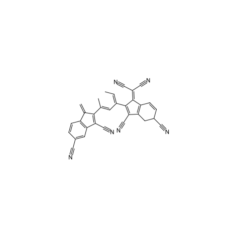 C=C1C(/C(C)=C/C(=C\C)C2=C(C#N)C3=C(C=CC(C#N)C3)C2=C(C#N)C#N)=C(C#N)c2cc(C#N)ccc21